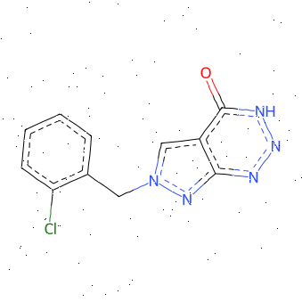 O=c1[nH]nnc2nn(Cc3ccccc3Cl)cc12